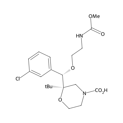 COC(=O)NCCO[C@@H](c1cccc(Cl)c1)[C@@]1(C(C)(C)C)CN(C(=O)O)CCO1